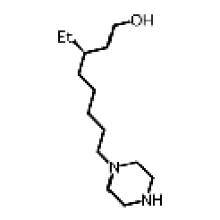 CC[C@@H](CCO)CCCCCN1CCNCC1